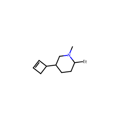 CCC1CCC(C2C=CC2)CN1C